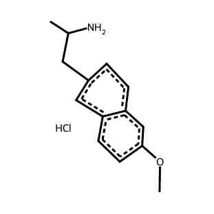 COc1ccc2cc(CC(C)N)ccc2c1.Cl